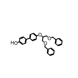 Oc1ccc(-c2ccc(OC(COCc3ccccc3)COCc3ccccc3)cc2)cc1